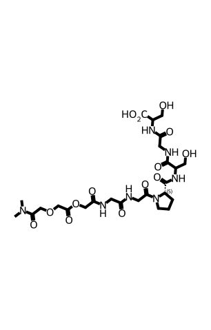 CN(C)C(=O)COCC(=O)OCC(=O)NCC(=O)NCC(=O)N1CCC[C@H]1C(=O)NC(CO)C(=O)NCC(=O)NC(CO)C(=O)O